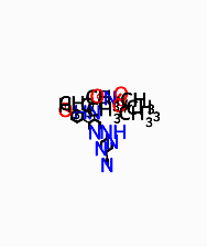 COc1ccc(-c2cnc(Nc3cnc(C#N)cn3)cc2NCC2(C(C)(C)C)CN(C(=O)OC(C)(C)C)CCO2)cc1